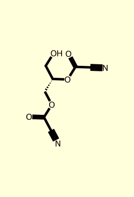 N#CC(=O)OC[C@H](CO)OC(=O)C#N